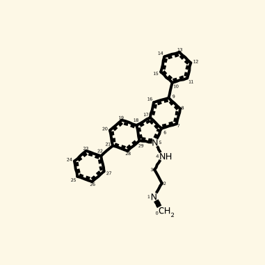 C=NCCNn1c2ccc(-c3ccccc3)cc2c2ccc(-c3ccccc3)cc21